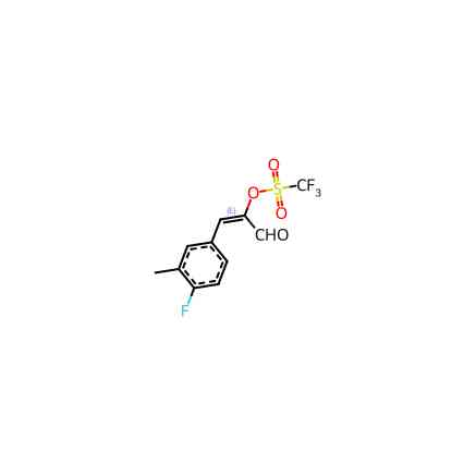 Cc1cc(/C=C(\C=O)OS(=O)(=O)C(F)(F)F)ccc1F